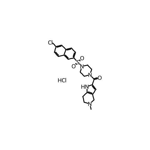 CN1CCc2[nH]c(C(=O)N3CCN(S(=O)(=O)c4ccc5cc(Cl)ccc5c4)CC3)cc2C1.Cl